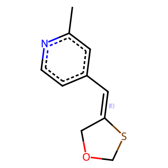 Cc1cc(/C=C2\COCS2)ccn1